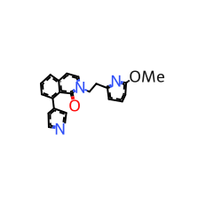 COc1cccc(CCn2ccc3cccc(-c4ccncc4)c3c2=O)n1